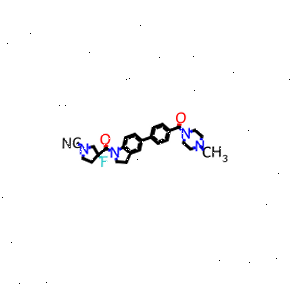 CN1CCN(C(=O)c2ccc(-c3ccc4c(c3)CCN4C(=O)C3(F)CCN(C#N)C3)cc2)CC1